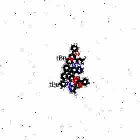 CC1=CC(c2cccc3c2oc2ccccc23)=C(N(c2ccc(C(C)(C)C)cc2)c2cc3c(c4ccccc24)-c2c(cc(N(c4ccc(C(C)(C)C)cc4)c4ncc(C)cc4-c4cccc5c4oc4ccccc45)c4c2oc2ccccc24)C32c3ccccc3-c3ccccc32)NC1